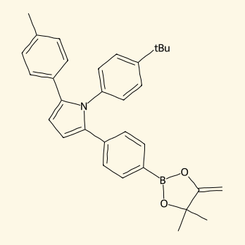 C=C1OB(c2ccc(-c3ccc(-c4ccc(C)cc4)n3-c3ccc(C(C)(C)C)cc3)cc2)OC1(C)C